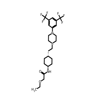 CCOCC(=O)N[C@H]1CC[C@H](CCN2CCN(c3cc(C(F)(F)F)cc(C(F)(F)F)c3)CC2)CC1